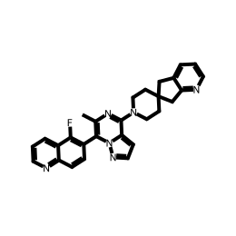 Cc1nc(N2CCC3(CC2)Cc2cccnc2C3)c2ccnn2c1-c1ccc2ncccc2c1F